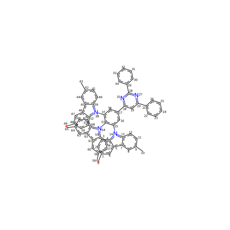 Cc1ccc2c(c1)c1cc(C)ccc1n2-c1cc(-c2cc(-c3ccccc3)nc(-c3ccccc3)n2)cc(-n2c3ccc(C)cc3c3cc(C)ccc32)c1-n1c2ccc(C)cc2c2cc(C)ccc21